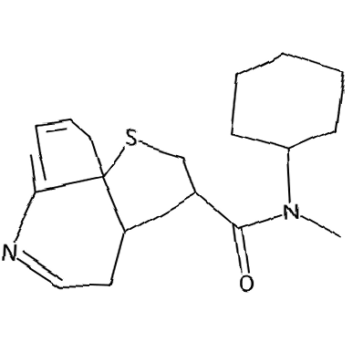 CN(C(=O)C1CSC23CC=CC=C2N=CCC13)C1CCCCC1